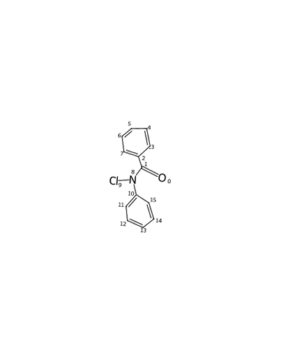 O=C(c1[c]cccc1)N(Cl)c1ccccc1